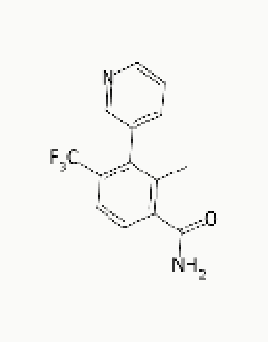 Cc1c(C(N)=O)ccc(C(F)(F)F)c1-c1cccnc1